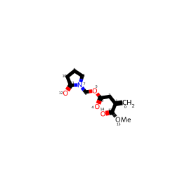 C=C(CC(=O)OCN1CCCC1=O)C(=O)OC